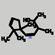 CC(O)C(C)/C=C\C1(C)CC=CC1(C)C